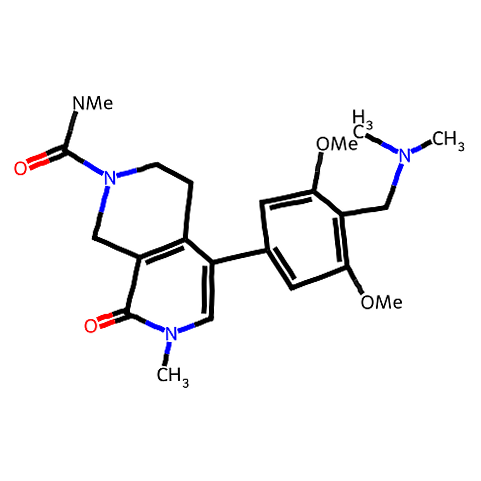 CNC(=O)N1CCc2c(-c3cc(OC)c(CN(C)C)c(OC)c3)cn(C)c(=O)c2C1